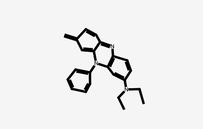 C=c1ccc2c(c1)N(c1ccccc1)c1cc(N(CC)CC)ccc1N=2